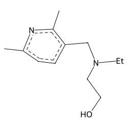 CCN(CCO)Cc1ccc(C)nc1C